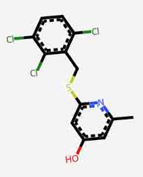 Cc1cc(O)cc(SCc2c(Cl)ccc(Cl)c2Cl)n1